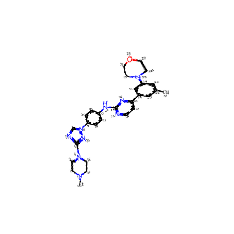 CCN1CCN(c2ncn(-c3ccc(Nc4nccc(-c5cc(C#N)cc(N6CCOCC6)c5)n4)cc3)n2)CC1